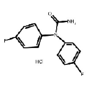 Cl.NC(=O)N(c1ccc(F)cc1)c1ccc(F)cc1